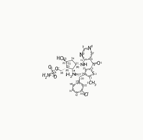 Cc1sc(C(=O)c2cncnc2N[C@@H]2C[C@H](COS(N)(=O)=O)[C@@H](O)C2)cc1[C@@H](N)c1cccc(Cl)c1